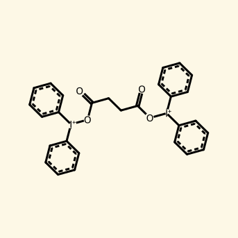 O=C(CCC(=O)O[I+](c1ccccc1)c1ccccc1)O[I+](c1ccccc1)c1ccccc1